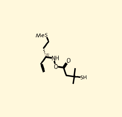 C=C[C@H](CCSC)NOC(=O)CC(C)(C)S